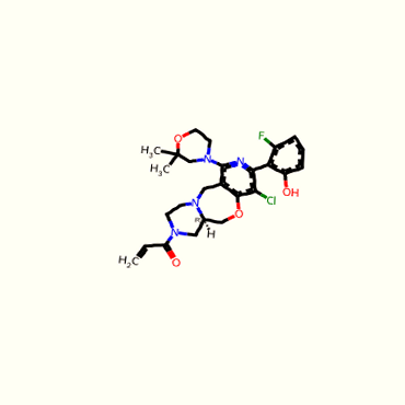 C=CC(=O)N1CCN2Cc3c(N4CCOC(C)(C)C4)nc(-c4c(O)cccc4F)c(Cl)c3OC[C@H]2C1